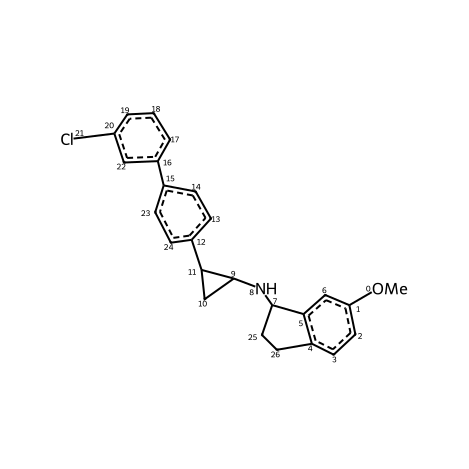 COc1ccc2c(c1)C(NC1CC1c1ccc(-c3cccc(Cl)c3)cc1)CC2